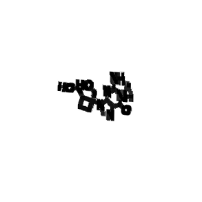 Nc1nc2c(ncn2[C@]2(CO)CC[C@H]2CO)c(=O)[nH]1